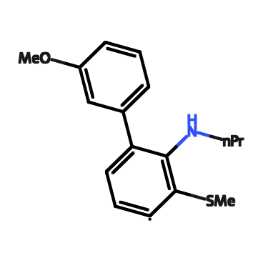 CCCNc1c(SC)[c]ccc1-c1cccc(OC)c1